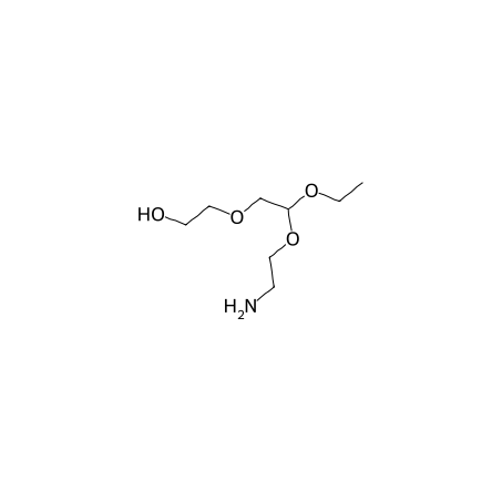 CCOC(COCCO)OCCN